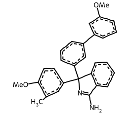 COc1cccc(-c2cccc(C3(c4ccc(OC)c(C)c4)N=C(N)c4ccccc43)c2)c1